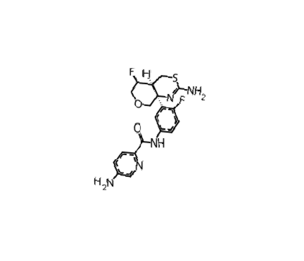 NC1=N[C@@]2(c3cc(NC(=O)c4ccc(N)cn4)ccc3F)COC[C@@H](F)[C@H]2CS1